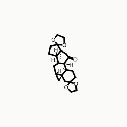 C[C@]12CC(=O)[C@H]3[C@@H](C[C@@H]4C[C@@]45CC4(CC[C@]35C)OCCO4)[C@@H]1CCC21OCCO1